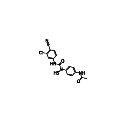 CC(=O)Nc1ccc(N(S)C(=O)Nc2ccc(C#N)c(Cl)c2)cc1